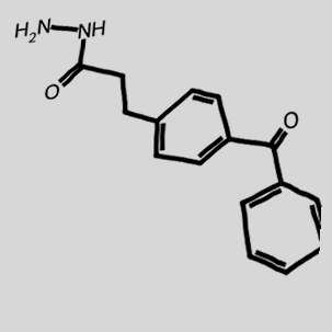 NNC(=O)CCc1ccc(C(=O)c2ccccc2)cc1